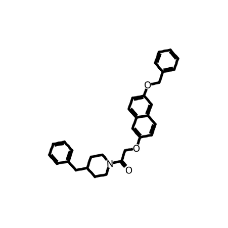 O=C(COc1ccc2cc(OCc3ccccc3)ccc2c1)N1CCC(Cc2ccccc2)CC1